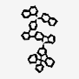 c1ccc(C2(c3ccccc3)c3ccccc3-c3cc(-n4c5ccccc5c5ccc(-c6ccccc6-c6ccc(N(c7ccc8ccccc8c7)c7cccc8ccccc78)cc6)cc54)ccc32)cc1